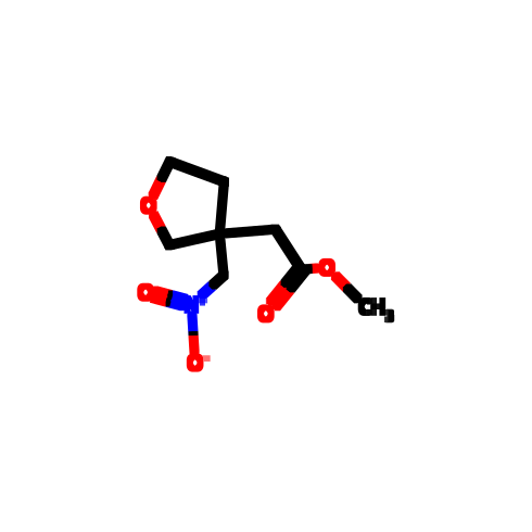 COC(=O)CC1(C[N+](=O)[O-])CCOC1